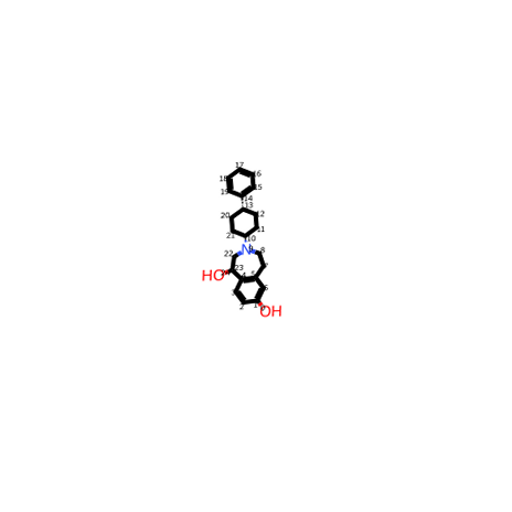 Oc1ccc2c(c1)CCN([C@H]1CC[C@@H](c3ccccc3)CC1)CC2O